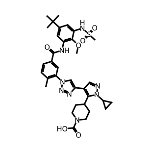 COc1c(NC(=O)c2ccc(C)c(-n3cc(-c4cnn(C5CC5)c4C4CCN(C(=O)O)CC4)nn3)c2)cc(C(C)(C)C)cc1NS(C)(=O)=O